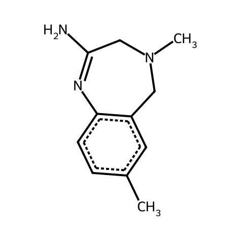 Cc1ccc2c(c1)CN(C)CC(N)=N2